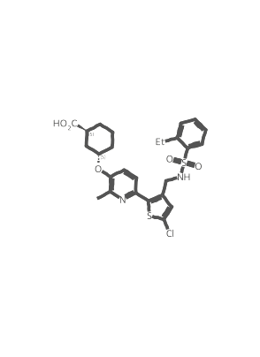 CCc1ccccc1S(=O)(=O)NCc1cc(Cl)sc1-c1ccc(O[C@H]2CCC[C@H](C(=O)O)C2)c(C)n1